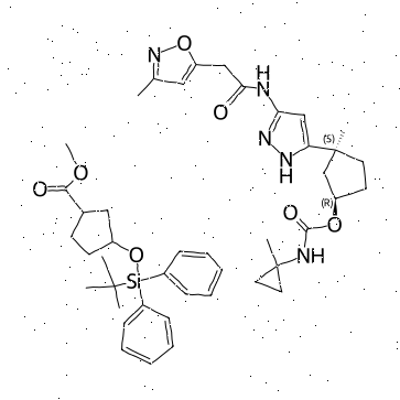 COC(=O)C1CCC(O[Si](c2ccccc2)(c2ccccc2)C(C)(C)C)C1.Cc1cc(CC(=O)Nc2cc([C@@]3(C)CC[C@@H](OC(=O)NC4(C)CC4)C3)[nH]n2)on1